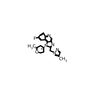 Cc1cnn(Cc2nc3cnc4ccc(F)cc4c3n2[C@@H]2CCO[C@H](C)C2)c1